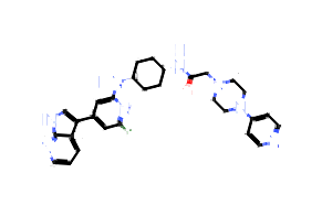 O=C(CN1CCN(c2ccncc2)CC1)N[C@H]1CC[C@H](Nc2cc(-c3c[nH]c4ncccc34)cc(Cl)n2)CC1